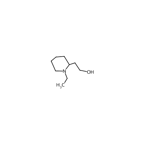 CCN1CCCCC1CCO